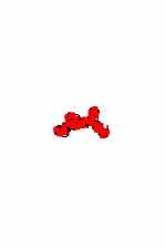 c1ccc(-c2cc(-c3ccc(-c4ccc(-c5ccc6c(c5)oc5ccccc56)c5c4oc4ccccc45)cc3)nc(-c3ccc(-c4ccccn4)cc3)n2)cc1